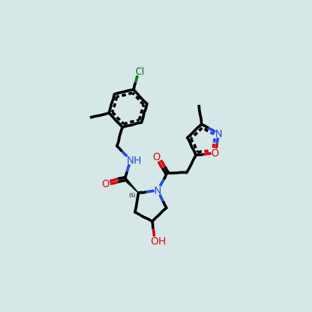 Cc1cc(CC(=O)N2CC(O)C[C@H]2C(=O)NCc2ccc(Cl)cc2C)on1